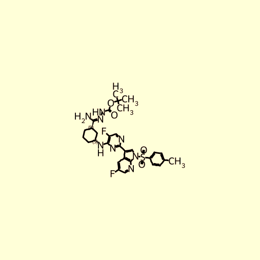 Cc1ccc(S(=O)(=O)n2cc(-c3ncc(F)c(N[C@H]4CCC[C@@H](C(N)=NNC(=O)OC(C)(C)C)C4)n3)c3cc(F)cnc32)cc1